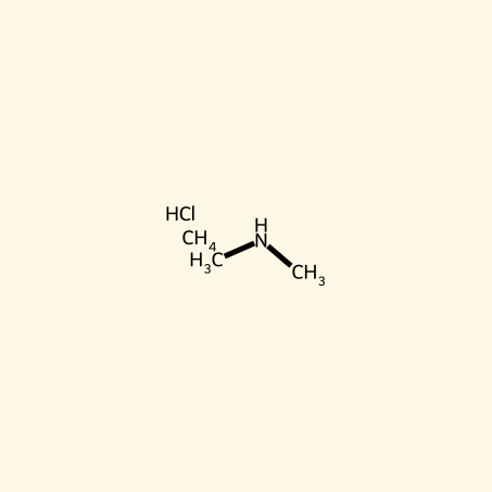 C.CNC.Cl